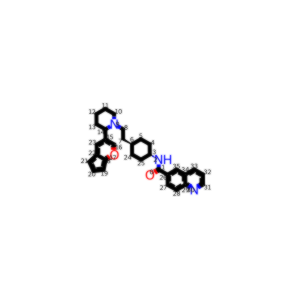 O=C(N[C@H]1CC[C@H](CCN2CCCCC2c2coc3cccc-3c2)CC1)c1ccc2ncccc2c1